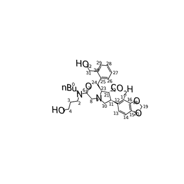 CCCCN(CCCO)C(=O)CN1C[C@H](c2ccc3c(c2)OCO3)[C@@H](C(=O)O)[C@@H]1Cc1ccccc1CO